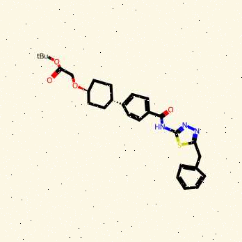 CC(C)(C)OC(=O)CO[C@H]1CC[C@H](c2ccc(C(=O)Nc3nnc(Cc4ccccc4)s3)cc2)CC1